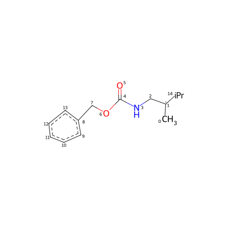 C[C](CNC(=O)OCc1ccccc1)C(C)C